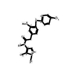 CCN(C(=O)Cc1ccc(Oc2ccc(C(F)(F)F)cn2)c(OC)c1)c1cnn(CC)c1Cl